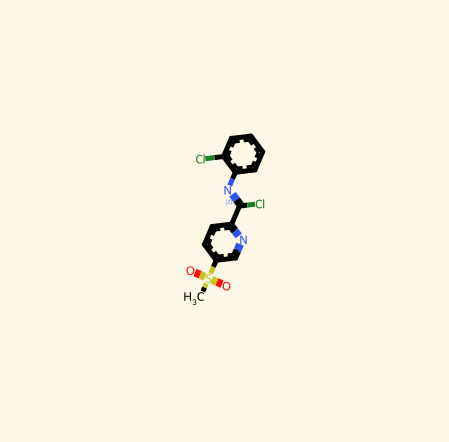 CS(=O)(=O)c1ccc(/C(Cl)=N/c2ccccc2Cl)nc1